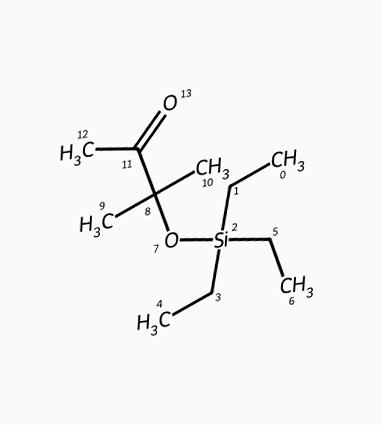 CC[Si](CC)(CC)OC(C)(C)C(C)=O